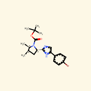 C[C@@H]1C[C@@H](c2ncc(-c3ccc(Br)cc3)[nH]2)N(C(=O)OC(C)(C)C)[C@@H]1C